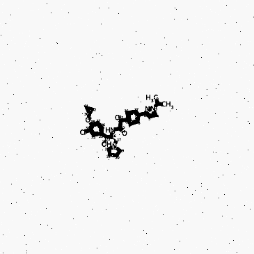 CC(C)n1ccc(-c2ccc(C(=O)C(=O)N[C@H](CN3CCCC3)[C@H](O)c3ccc(OC4CC4)c(Cl)c3)cc2)n1